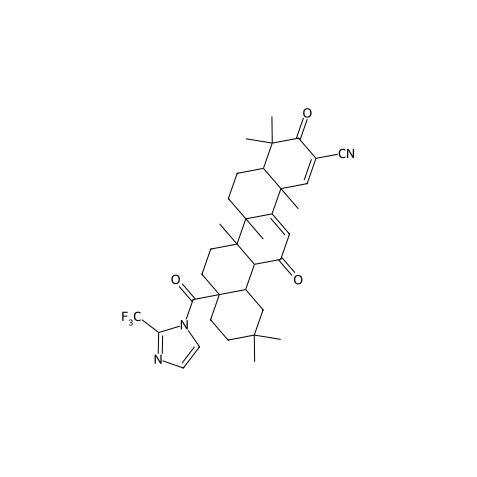 CC1(C)CCC2(C(=O)n3ccnc3C(F)(F)F)CCC3(C)C(C(=O)C=C4C5(C)C=C(C#N)C(=O)C(C)(C)C5CCC43C)C2C1